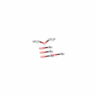 CCCCO.CCCCO.CCCCO.CCCCO.O=C(O)OC(=O)O